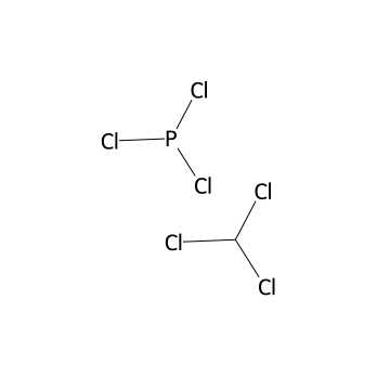 ClC(Cl)Cl.ClP(Cl)Cl